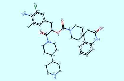 Cc1cc(C[C@@H](OC(=O)N2CCC3(CC2)CC(=O)Nc2ccccc23)C(=O)N2CCC(C3CCNCC3)CC2)cc(Cl)c1N